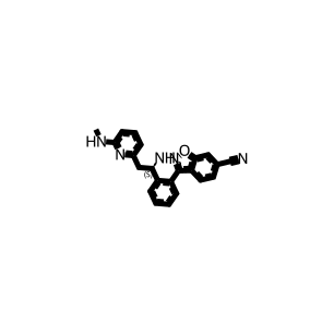 CNc1cccc(C[C@H](N)c2ccccc2-c2noc3cc(C#N)ccc23)n1